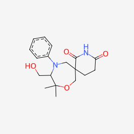 CC1(C)OCC2(CCC(=O)NC2=O)CN(c2ccccc2)C1CO